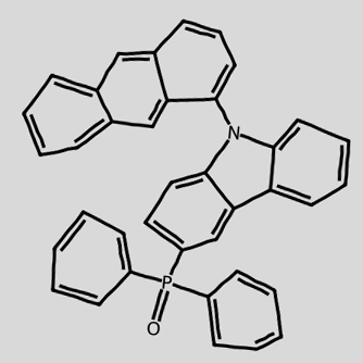 O=P(c1ccccc1)(c1ccccc1)c1ccc2c(c1)c1ccccc1n2-c1cccc2cc3ccccc3cc12